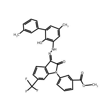 COC(=O)c1cccc(N2C(=O)/C(=N\Nc3cc(C)cc(-c4cccc(C)c4)c3O)c3ccc(C(F)(F)F)cc32)c1